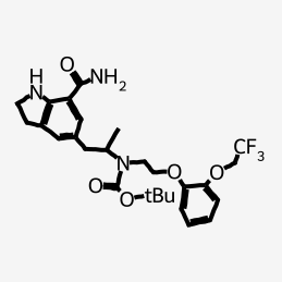 CC(Cc1cc2c(c(C(N)=O)c1)NCC2)N(CCOc1ccccc1OCC(F)(F)F)C(=O)OC(C)(C)C